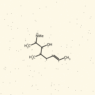 C/C=C/CC(C)C(O)C(C)NC